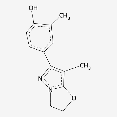 Cc1cc(-c2nn3c(c2C)OCC3)ccc1O